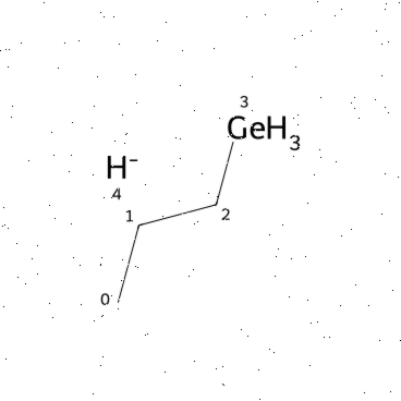 CC[CH2][GeH3].[H-]